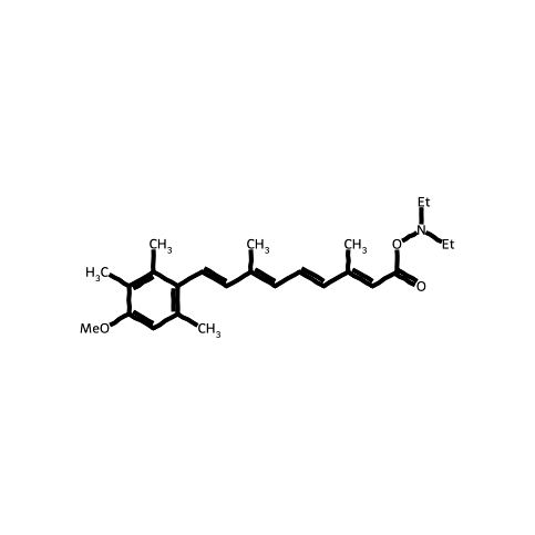 CCN(CC)OC(=O)/C=C(C)/C=C/C=C(C)/C=C/c1c(C)cc(OC)c(C)c1C